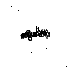 CC(C)(C)OC(=O)Nc1ccc(C=c2[nH]c(=O)c(=Cc3ccccc3)[nH]c2=O)cc1